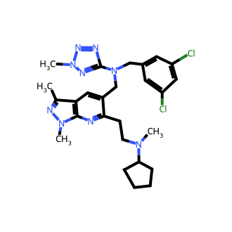 Cc1nn(C)c2nc(CCN(C)C3CCCC3)c(CN(Cc3cc(Cl)cc(Cl)c3)c3nnn(C)n3)cc12